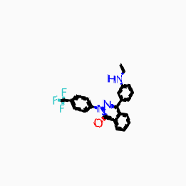 CCNc1cccc(-c2nn(-c3ccc(C(F)(F)F)cc3)c(=O)c3ccccc23)c1